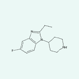 CCc1nc2cc(F)ccc2n1C1CCNCC1